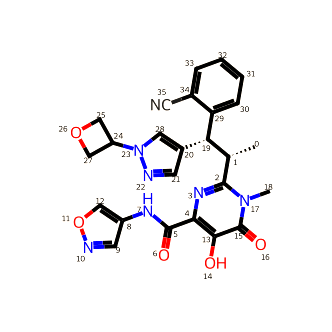 C[C@H](c1nc(C(=O)Nc2cnoc2)c(O)c(=O)n1C)[C@H](c1cnn(C2COC2)c1)c1ccccc1C#N